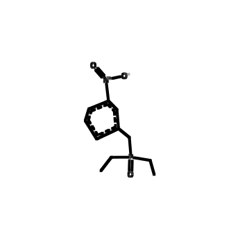 CCP(=O)(CC)Cc1cccc([N+](=O)[O-])c1